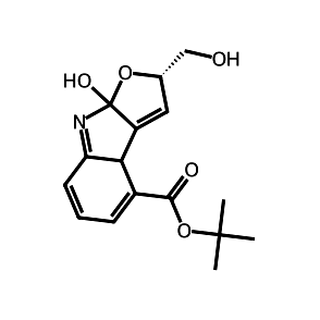 CC(C)(C)OC(=O)C1=CC=CC2=NC3(O)O[C@H](CO)C=C3C12